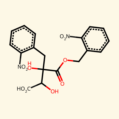 O=C(O)C(O)C(O)(Cc1ccccc1[N+](=O)[O-])C(=O)OCc1ccccc1[N+](=O)[O-]